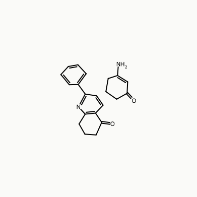 NC1=CC(=O)CCC1.O=C1CCCc2nc(-c3ccccc3)ccc21